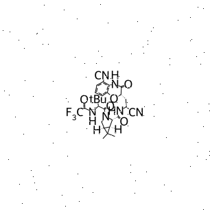 CC(C)(C)C(NC(=O)C(F)(F)F)C(=O)N1C[C@H]2[C@@H]([C@H]1C(=O)NC(C#N)C[C@@H]1Oc3cccc(C#N)c3NC1=O)C2(C)C